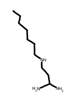 CCCCCCCNCCC(N)N